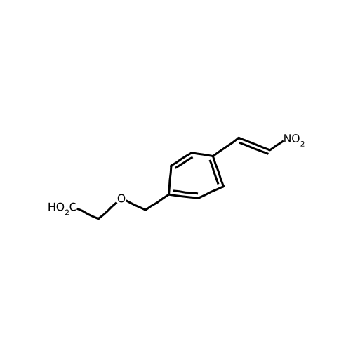 O=C(O)COCc1ccc(/C=C/[N+](=O)[O-])cc1